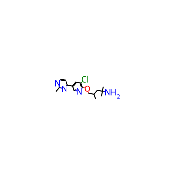 Cc1nccc(-c2cnc(OCC(C)CC(C)(C)N)c(Cl)c2)n1